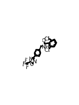 O=C(NCc1ccc(-c2noc(C(F)(F)F)n2)cc1)c1c(Cl)cccc1Cl